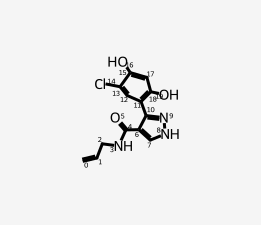 C=CCNC(=O)c1c[nH]nc1-c1cc(Cl)c(O)cc1O